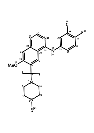 CCCN1CCN(C(C)(C)c2cc3c(Nc4ccc(F)c(Cl)c4)ncnc3cc2OC)CC1